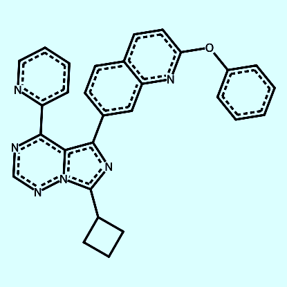 c1ccc(Oc2ccc3ccc(-c4nc(C5CCC5)n5ncnc(-c6ccccn6)c45)cc3n2)cc1